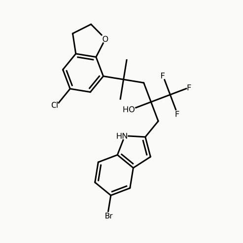 CC(C)(CC(O)(Cc1cc2cc(Br)ccc2[nH]1)C(F)(F)F)c1cc(Cl)cc2c1OCC2